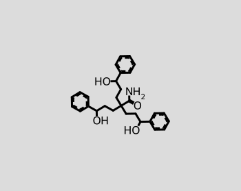 NC(=O)C(CCC(O)c1ccccc1)(CCC(O)c1ccccc1)CCC(O)c1ccccc1